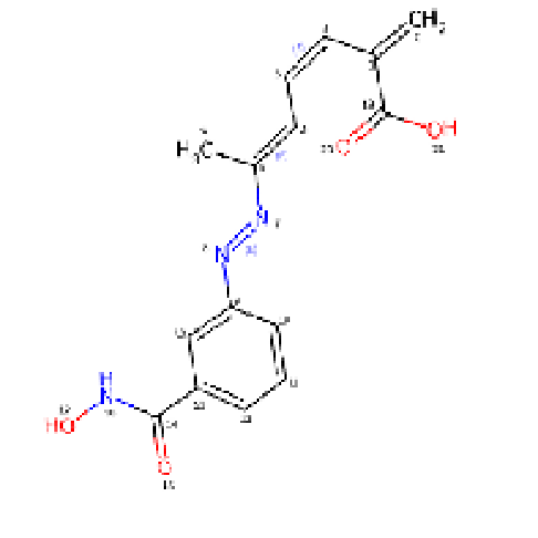 C=C(\C=C/C=C(C)/N=N/c1cccc(C(=O)NO)c1)C(=O)O